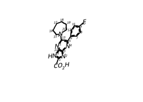 O=C(O)c1nc2nc(-c3ccc(F)cc3)c(N3CCCCCC3)nc2[nH]1